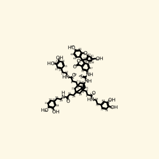 O=C(CCC12CC3(CCC(=O)NCCc4ccc(O)c(O)c4)CC(CCC(=O)NCCc4ccc(O)c(O)c4)(C1)CC(NC(=S)Nc1ccc4c(c1)C(=O)OC41c4ccc(O)cc4Oc4cc(O)ccc41)(C2)C3)NCCc1ccc(O)c(O)c1